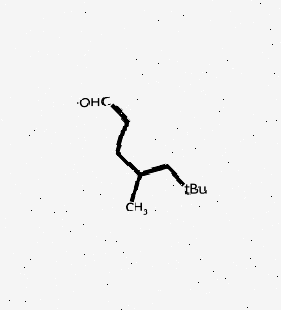 CC(CC[C]=O)CC(C)(C)C